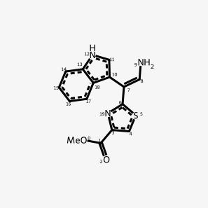 COC(=O)c1csc(/C(=C/N)c2c[nH]c3ccccc23)n1